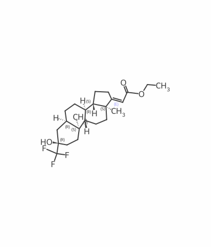 CCOC(=O)/C=C1\CC[C@H]2[C@@H]3CC[C@@H]4C[C@@](O)(C(F)(F)F)CC[C@]4(C)[C@H]3CC[C@]12C